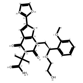 COc1ccccc1[C@H](Cn1c(=O)n(C(C)(C)C(N)=O)c(=O)c2cc(-c3ncco3)sc21)OCCO